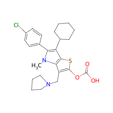 Cn1c(-c2ccc(Cl)cc2)c(C2CCCCC2)c2sc(OC(=O)O)c(CN3CCCC3)c21